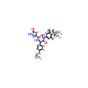 COCc1ccc([C@@H](NC(=O)[C@H]2CNC(=O)C2)C(=O)Nc2cc(F)c([Si](C)(C)C)c(F)c2)cc1